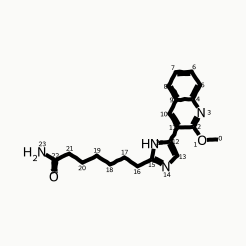 COc1nc2ccccc2cc1-c1cnc(CCCCCCC(N)=O)[nH]1